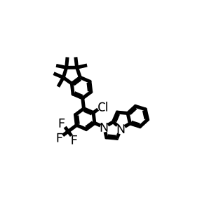 CC1(C)c2ccc(-c3cc(C(F)(F)F)cc(-n4ccn5c6ccccc6cc45)c3Cl)cc2C(C)(C)C1(C)C